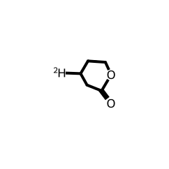 [2H]C1CCOC(=O)C1